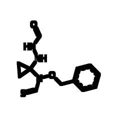 O=CNNC1(N(C=S)OCc2ccccc2)CC1